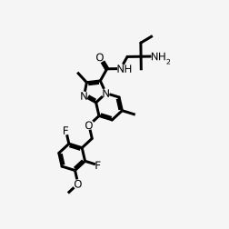 CCC(C)(N)CNC(=O)c1c(C)nc2c(OCc3c(F)ccc(OC)c3F)cc(C)cn12